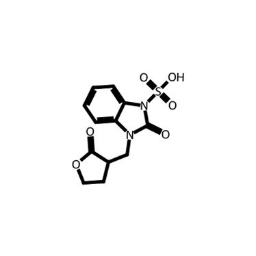 O=C1OCCC1Cn1c(=O)n(S(=O)(=O)O)c2ccccc21